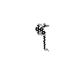 CCCCCC/C=C/CCCCOc1ccc(-c2cn(CCC(=O)O)cc(-c3c(CCC)cccc3CCC)c2=S)cc1